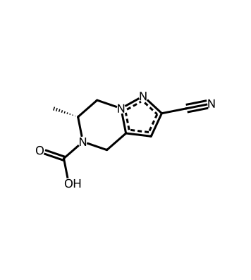 C[C@@H]1Cn2nc(C#N)cc2CN1C(=O)O